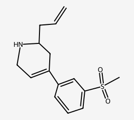 C=CCC1CC(c2cccc(S(C)(=O)=O)c2)=CCN1